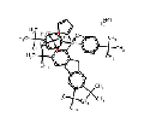 Cl.Cl.[CH2]=[Zr]([C]1=CC=CC1)([c]1ccc(C(C)(C)C)cc1)([c]1ccc(C(C)(C)C)cc1)[c]1c2c(cc(C(C)(C)C)c1C(C)(C)C)-c1cc(C(C)(C)C)c(C(C)(C)C)cc1C2